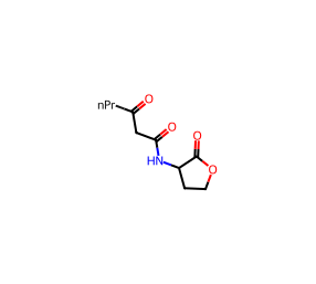 CCCC(=O)CC(=O)NC1CCOC1=O